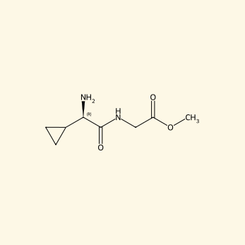 COC(=O)CNC(=O)[C@H](N)C1CC1